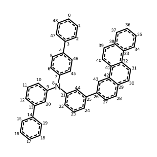 c1ccc(-c2ccc(N(c3cccc(-c4ccccc4)c3)c3cccc(-c4ccc5ccc6c7ccccc7ccc6c5c4)c3)cc2)cc1